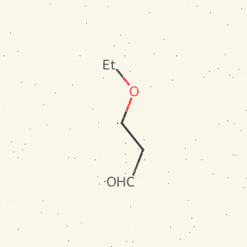 CCO[CH]C[C]=O